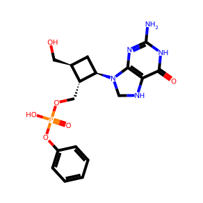 Nc1nc2c(c(=O)[nH]1)NCN2[C@@H]1C[C@H](CO)[C@H]1COP(=O)(O)Oc1ccccc1